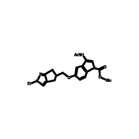 CCn1cc2c(n1)CC(COc1ccc3c(c1)c(NC(C)=O)cn3C(=O)OC(C)(C)C)C2